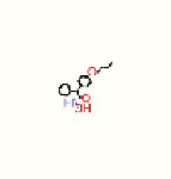 CCCCOc1ccc(C(C(=O)NO)c2ccccc2)cc1